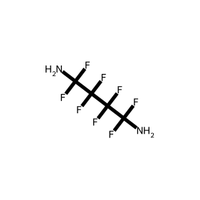 NC(F)(F)C(F)(F)C(F)(F)C(N)(F)F